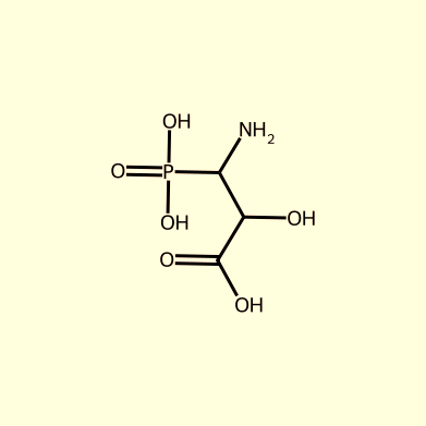 NC(C(O)C(=O)O)P(=O)(O)O